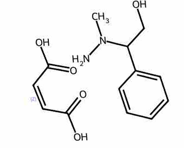 CN(N)C(CO)c1ccccc1.O=C(O)/C=C\C(=O)O